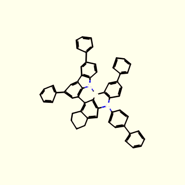 c1ccc(-c2ccc(N3c4ccc(-c5ccccc5)cc4B4c5c3cc3c(c5-c5cc(-c6ccccc6)cc6c7cc(-c8ccccc8)ccc7n4c56)CCCC3)cc2)cc1